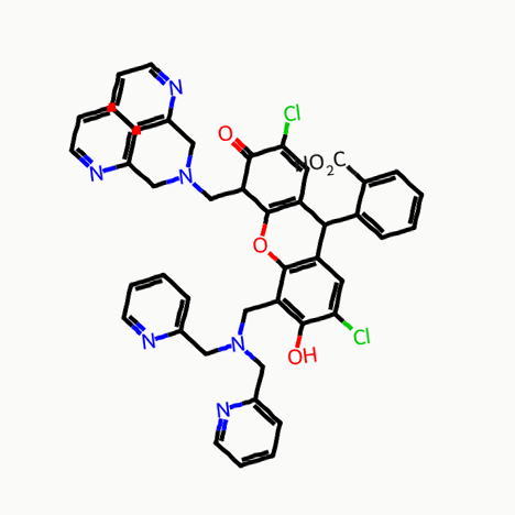 O=C(O)c1ccccc1C1C2=C(Oc3c1cc(Cl)c(O)c3CN(Cc1ccccn1)Cc1ccccn1)C(CN(Cc1ccccn1)Cc1ccccn1)C(=O)C(Cl)=C2